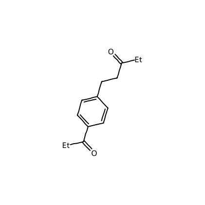 CCC(=O)CCc1ccc(C(=O)CC)cc1